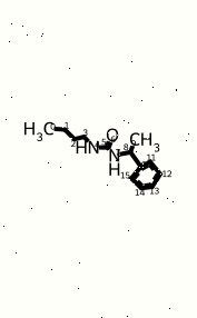 CCCCNC(=O)NC(C)c1ccccc1